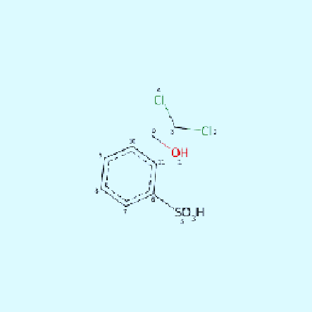 CO.ClCCl.O=S(=O)(O)c1ccccc1